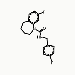 O=C(NCc1ccc(F)cc1)N1CCCCc2ccc(F)cc21